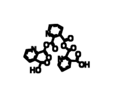 O=C(O)c1cccnc1C(=O)OC(=O)c1cccnc1C(=O)OC(=O)c1ncccc1C(=O)O